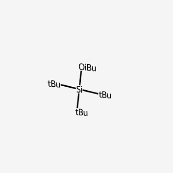 CC(C)CO[Si](C(C)(C)C)(C(C)(C)C)C(C)(C)C